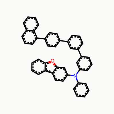 c1ccc(N(c2cccc(-c3cccc(-c4ccc(-c5cccc6ccccc56)cc4)c3)c2)c2ccc3c(c2)oc2ccccc23)cc1